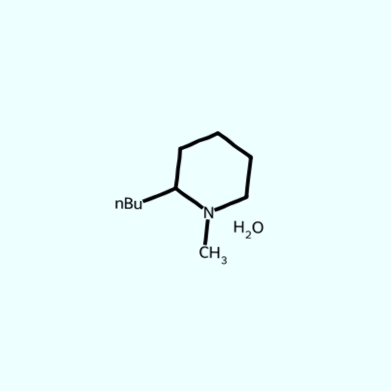 CCCCC1CCCCN1C.O